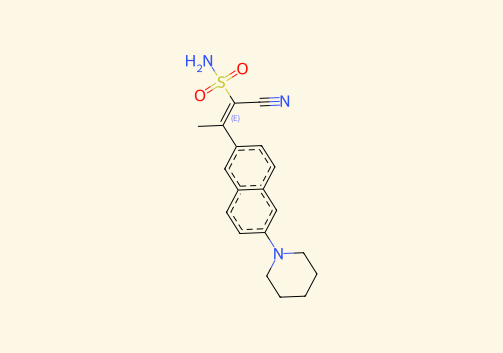 C/C(=C(/C#N)S(N)(=O)=O)c1ccc2cc(N3CCCCC3)ccc2c1